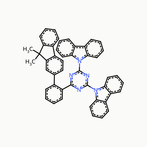 CC1(C)c2ccccc2-c2ccc(-c3ccccc3-c3nc(-n4c5ccccc5c5ccccc54)nc(-n4c5ccccc5c5ccccc54)n3)cc21